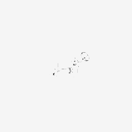 O=C(O)NCCCC[C@H](NC(=O)O)c1nc(CC23CC4CC(CC(C4)C2)C3)no1